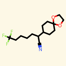 N#CC(CCCCC(F)(F)F)C1CCC2(CC1)OCCO2